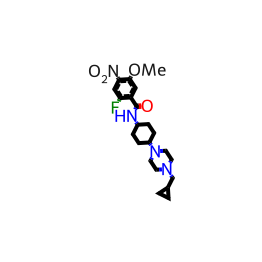 COc1cc(C(=O)NC2CCC(N3CCN(CC4CC4)CC3)CC2)c(F)cc1[N+](=O)[O-]